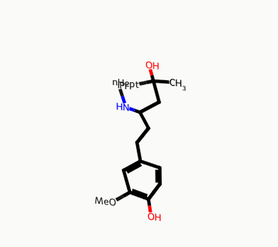 CCCCCCCC(C)(O)CC(CCc1ccc(O)c(OC)c1)NC(C)C